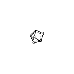 c1oc2nc1N2